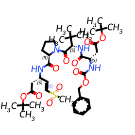 CC(C)(C)OC(=O)C[C@@H](/C=C/S(C)(=O)=O)NC(=O)[C@H]1CCCN1C(=O)[C@@H](NC(=O)[C@H](CC(=O)OC(C)(C)C)NC(=O)OCc1ccccc1)C(C)(C)C